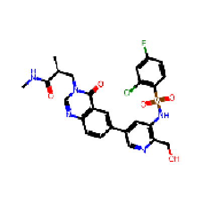 CNC(=O)[C@@H](C)Cn1cnc2ccc(-c3cnc(CO)c(NS(=O)(=O)c4ccc(F)cc4Cl)c3)cc2c1=O